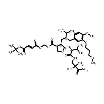 COCCCOc1cc(C[C@@H](C[C@H]2[C@H](C[C@H](C(=O)NCC(C)(C)C(N)=O)C(C)C)OCN2C(=O)OCOC(=O)/C=C/C(=O)OC(C)(C)C)C(C)C)ccc1OC